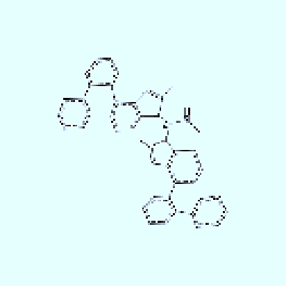 CC1=Cc2c(-c3ccccc3-c3ccccc3)cccc2[CH]1[Zr]([CH]1C(C)=Cc2c(-c3ccccc3-c3ccccc3)cccc21)[SiH](C)C